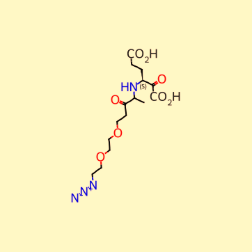 CC(N[C@@H](CCC(=O)O)C(=O)C(=O)O)C(=O)CCOCCOCCN=[N+]=[N-]